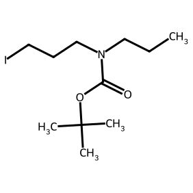 CCCN(CCCI)C(=O)OC(C)(C)C